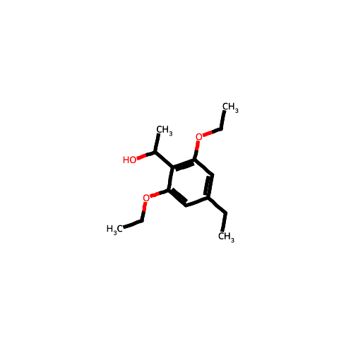 CCOc1cc(CC)cc(OCC)c1C(C)O